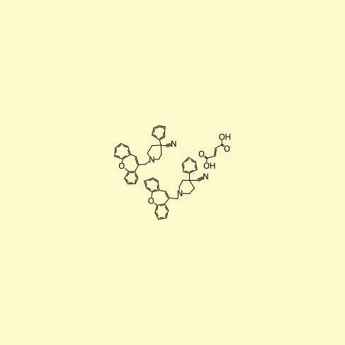 N#CC1(c2ccccc2)CCN(CC2=Cc3ccccc3Oc3ccccc32)CC1.N#CC1(c2ccccc2)CCN(CC2=Cc3ccccc3Oc3ccccc32)CC1.O=C(O)C=CC(=O)O